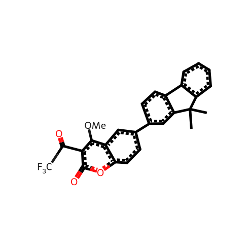 COc1c(C(=O)C(F)(F)F)c(=O)oc2ccc(-c3ccc4c(c3)C(C)(C)c3ccccc3-4)cc12